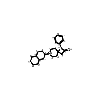 O=C1CC2(CCN(C3CCC4CCCCC4C3)CC2)N1c1ccccc1